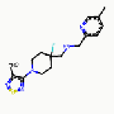 Cc1ccc(CNCC2(F)CCN(c3nsnc3C=O)CC2)nc1